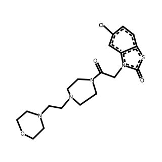 O=C(Cn1c(=O)sc2ccc(Cl)cc21)N1CCN(CCN2CCOCC2)CC1